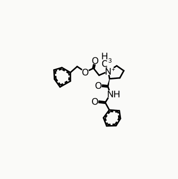 C[N+]1(CC(=O)OCc2ccccc2)CCC[C@H]1C(=O)NC(=O)c1ccccc1